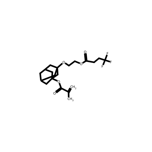 C=C(C)C(=O)OC12CC3CC(CC(OCCOC(=O)CCC(F)(F)F)(C3)C1)C2